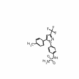 Cc1ccc(-c2cc(C(F)(F)F)nn2-c2ccc(NS(N)(=O)=O)cc2)cc1